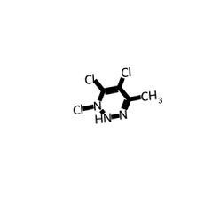 CC1=NNN(Cl)C(Cl)=C1Cl